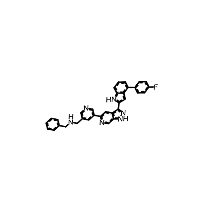 Fc1ccc(-c2cccc3[nH]c(-c4n[nH]c5cnc(-c6cncc(CNCc7ccccc7)c6)cc45)cc23)cc1